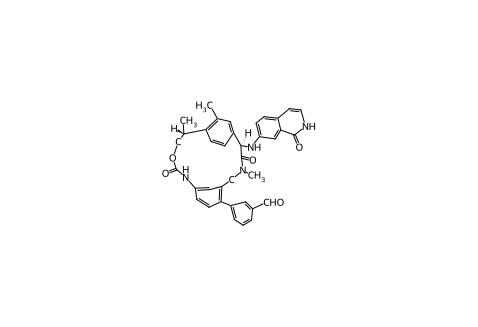 Cc1cc2ccc1[C@@H](C)COC(=O)Nc1ccc(-c3cccc(C=O)c3)c(c1)CN(C)C(=O)[C@@H]2Nc1ccc2cc[nH]c(=O)c2c1